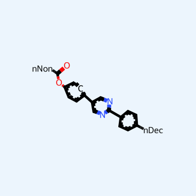 CCCCCCCCCCc1ccc(-c2ncc(-c3ccc(OC(=O)CCCCCCCCC)cc3)cn2)cc1